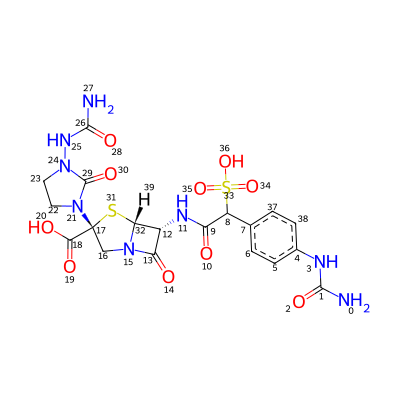 NC(=O)Nc1ccc(C(C(=O)N[C@@H]2C(=O)N3C[C@@](C(=O)O)(N4CCN(NC(N)=O)C4=O)S[C@H]23)S(=O)(=O)O)cc1